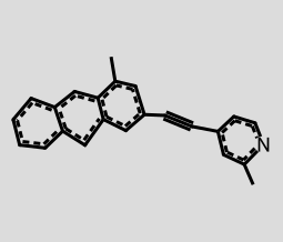 Cc1cc(C#Cc2cc(C)c3cc4ccccc4cc3c2)ccn1